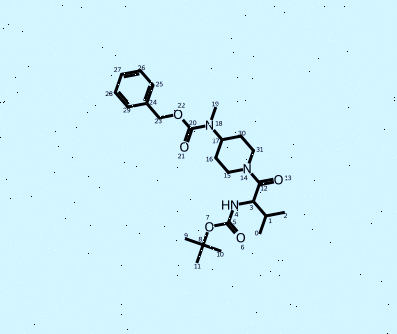 CC(C)C(NC(=O)OC(C)(C)C)C(=O)N1CCC(N(C)C(=O)OCc2ccccc2)CC1